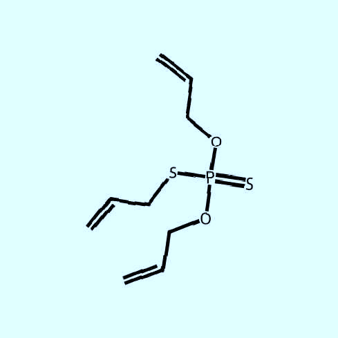 C=CCOP(=S)(OCC=C)SCC=C